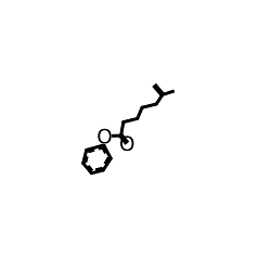 C=C(C)CCCCC(=O)Oc1ccccc1